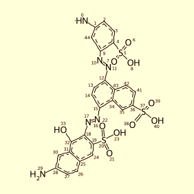 [NH]c1ccc(S(=O)(=O)O)c(N=Nc2ccc(N=Nc3c(S(=O)(=O)O)cc4ccc(N)cc4c3O)c3cc(S(=O)(=O)O)ccc23)c1